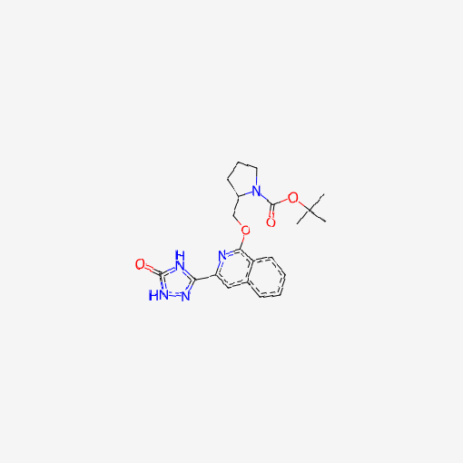 CC(C)(C)OC(=O)N1CCCC1COc1nc(-c2n[nH]c(=O)[nH]2)cc2ccccc12